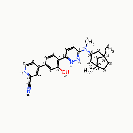 CN(c1ccc(-c2ccc(-c3ccnc(C#N)c3)cc2O)nn1)[C@H]1C[C@]2(C)CC[C@](C)(C1)C2